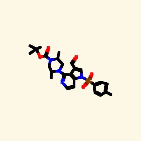 Cc1ccc(S(=O)(=O)n2cc(C=O)c3c(N4CC(C)N(C(=O)OC(C)(C)C)CC4C)nccc32)cc1